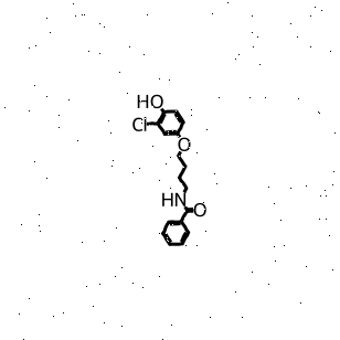 O=C(NCCCCOc1ccc(O)c(Cl)c1)c1ccccc1